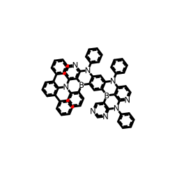 c1ccc(-c2cccc(-c3ccccc3)c2N2c3ccccc3B3c4cc5c(cc4N(c4ccccc4)c4nccc2c43)N(c2ccccc2)c2ccnc3c2B5c2cncnc2N3c2ccccc2)cc1